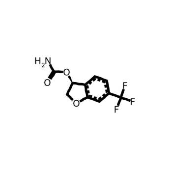 NC(=O)O[C@@H]1COc2cc(C(F)(F)F)ccc21